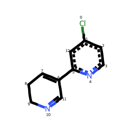 Clc1ccnc(C2=CCCN=C2)c1